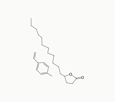 C=Cc1ccc(C)cc1.CCCCCCCCCCCCC1CCC(=O)O1